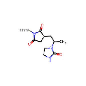 CCCCCN1C(=O)CC(CC(C)N2CCNC2=O)C1=O